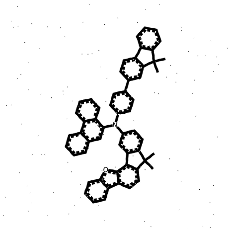 CC1(C)c2ccccc2-c2ccc(-c3ccc(N(c4ccc5c(c4)-c4c(ccc6c4oc4ccccc46)C5(C)C)c4cc5ccccc5c5ccccc45)cc3)cc21